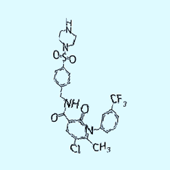 Cc1c(Cl)cc(C(=O)NCc2ccc(S(=O)(=O)N3CCNCC3)cc2)c(=O)n1-c1cccc(C(F)(F)F)c1